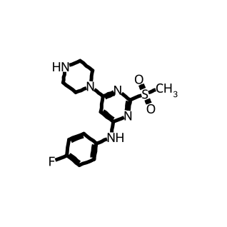 CS(=O)(=O)c1nc(Nc2ccc(F)cc2)cc(N2CCNCC2)n1